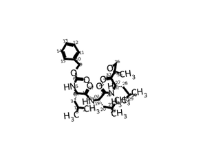 CC(C)C[C@H](NC(=O)OCc1ccccc1)C(=O)N[C@@H](CC(C)C)C(=O)N[C@@H](CC(C)C)C(=O)[C@@]1(C)CO1